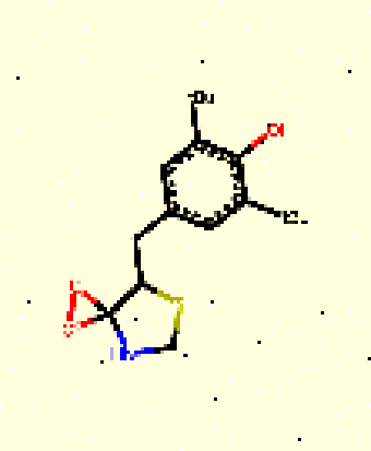 CC(C)(C)c1cc(CC2SCNC23OO3)cc(C(C)(C)C)c1O